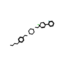 CCCCc1ccc(CC[C@H]2CC[C@H](CCC3(Cl)C=CC(c4ccccc4F)=CC3)CC2)cc1